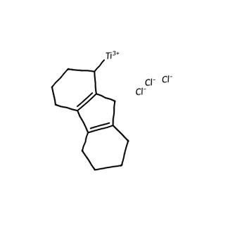 [Cl-].[Cl-].[Cl-].[Ti+3][CH]1CCCC2=C1CC1=C2CCCC1